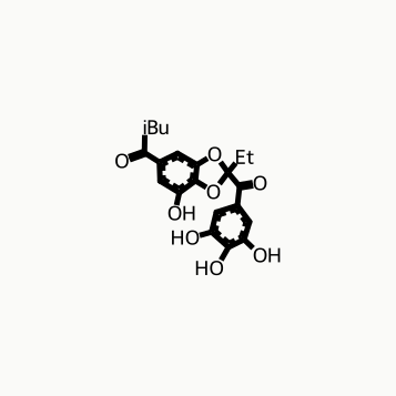 CCC(C)C(=O)c1cc(O)c2c(c1)OC(CC)(C(=O)c1cc(O)c(O)c(O)c1)O2